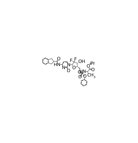 CC(C)OC(=O)C(C)NP(=O)(OC[C@H]1OC(n2ccc(NC(=O)C3Cc4ccccc4C3)nc2=O)C(F)(F)[C@@H]1O)Oc1ccccc1